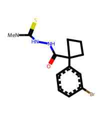 CNC(=S)NNC(=O)C1(c2cccc(Br)c2)CCC1